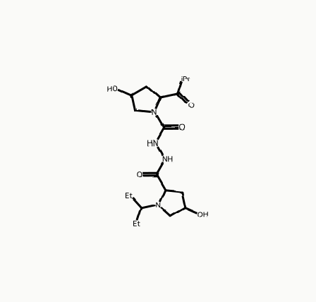 CCC(CC)N1CC(O)CC1C(=O)NNC(=O)N1CC(O)CC1C(=O)C(C)C